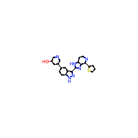 Oc1cncc(-c2ccc3[nH]nc(-c4nc5c(-c6cccs6)nccc5[nH]4)c3c2)c1